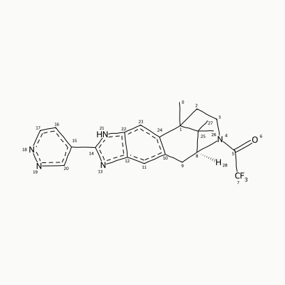 CC12CCN(C(=O)C(F)(F)F)[C@@H](Cc3cc4nc(-c5ccnnc5)[nH]c4cc31)C2(C)C